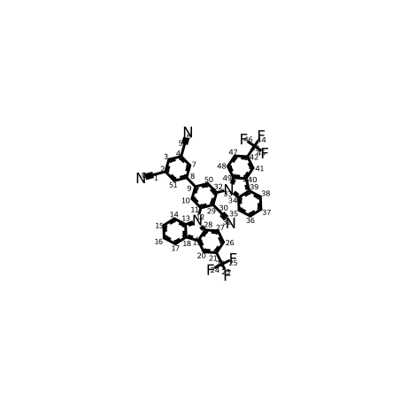 N#Cc1cc(C#N)cc(-c2cc(-n3c4ccccc4c4cc(C(F)(F)F)ccc43)c(C#N)c(-n3c4ccccc4c4cc(C(F)(F)F)ccc43)c2)c1